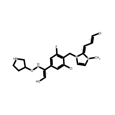 CC/C=C/C=C1\N(C)C=CN1Cc1c(F)cc(/C(=C/S)NOC2CCNC2)cc1Cl